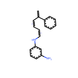 C=C(/C=C\C=C/Nc1cccc(N)c1)c1ccccc1